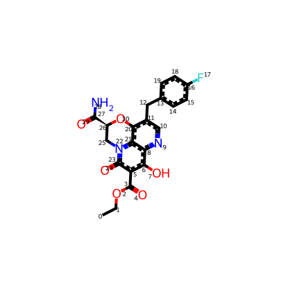 CCOC(=O)c1c(O)c2ncc(Cc3ccc(F)cc3)c3c2n(c1=O)C[C@@H](C(N)=O)O3